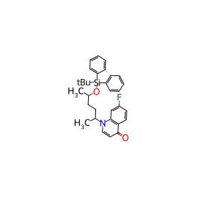 CC(CCC(C)n1ccc(=O)c2ccc(F)cc21)O[Si](c1ccccc1)(c1ccccc1)C(C)(C)C